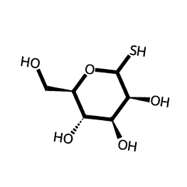 OC[C@H]1OC(S)[C@@H](O)[C@@H](O)[C@@H]1O